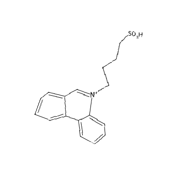 O=S(=O)(O)CCCC[n+]1cc2ccccc2c2ccccc21